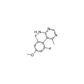 COc1cc(F)c(-c2c(C)ncnc2N)c(F)c1